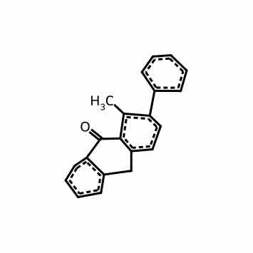 Cc1c(-c2ccccc2)ccc2c1C(=O)c1ccccc1C2